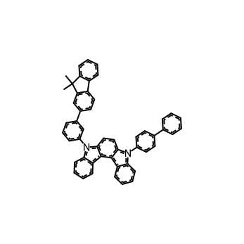 CC1(C)c2ccccc2-c2ccc(-c3cccc(-n4c5ccccc5c5c6c7ccccc7n(-c7ccc(-c8ccccc8)cc7)c6ccc54)c3)cc21